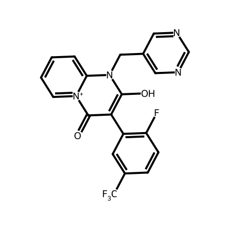 O=c1c(-c2cc(C(F)(F)F)ccc2F)c(O)n(Cc2cncnc2)c2cccc[n+]12